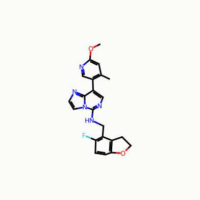 COc1cc(C)c(-c2cnc(NCc3c(F)ccc4c3CCO4)n3ccnc23)cn1